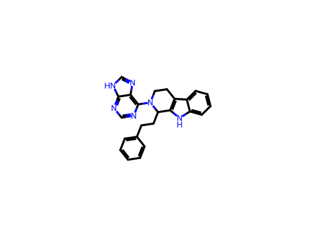 c1ccc(CCC2c3[nH]c4ccccc4c3CCN2c2ncnc3[nH]cnc23)cc1